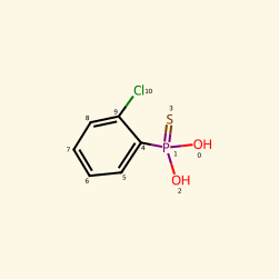 OP(O)(=S)c1ccccc1Cl